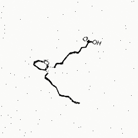 CCCCC/C=C\C[C@@H]1CCCO[C@@H]1CCCCCCCC(=O)O